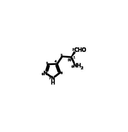 N[C@H](C=O)Cc1cn[nH]c1